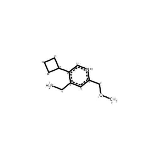 COCc1cc(CN)c(C2CCC2)cn1